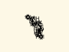 CN[C@H](C(=O)N[C@H](C(=O)N(C)[C@H](C=C(C)C(=O)NS(=O)(=O)NCc1ccccc1C(F)(F)F)C(C)C)C(C)(C)C)C(C)(C)c1ccccc1